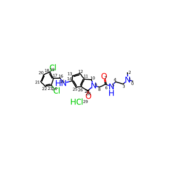 CN(C)CCNC(=O)CN1Cc2ccc(NCc3c(Cl)cccc3Cl)cc2C1=O.Cl